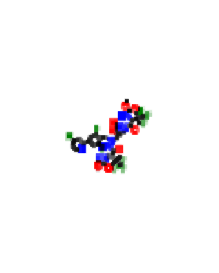 COC(=O)NC(C(=O)NC[C@@H](O)CN(Cc1c(F)cc(-c2cc(F)ccn2)cc1F)NC(=O)[C@@H](NC(=O)OC)C(C)(C)C(F)(F)F)C(C)(C)C(F)(F)F